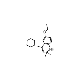 C1CCCCC1.CCOc1ccc2c(c1)C(C)=CC(C)(C)N2